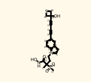 CC(CCn1ccc2cc(C#CC#CC3(O)CSC3)ccc21)(C(=O)NO)S(C)(=O)=O